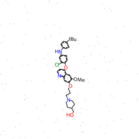 COc1cc2c(Oc3ccc(Nc4ccc(C(C)(C)C)cc4)cc3Cl)ccnc2cc1OCCCN1CCC(CO)CC1